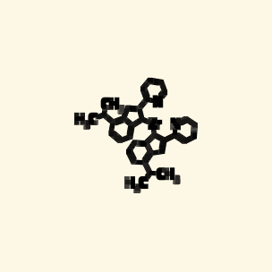 CC(C)c1cccc2c1C=C(c1ccccn1)[CH]2[Zr][CH]1C(c2ccccn2)=Cc2c(C(C)C)cccc21